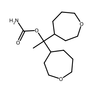 CC(OC(N)=O)(C1CCCOCC1)C1CCCOCC1